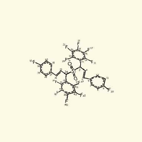 O=S(=O)(C(C=Cc1ccc(F)cc1)c1c(F)c(F)c(F)c(F)c1F)C(C=Cc1ccc(F)cc1)c1c(F)c(F)c(F)c(F)c1F